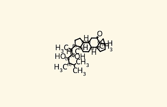 CC(C)[C@H](C)[C@H](O)[C@@H](O)[C@@H](C)[C@H]1CC[C@H]2[C@@H]3CC(=O)[C@]45C[C@@H]4CC[C@]5(C)[C@H]3CC[C@]12C